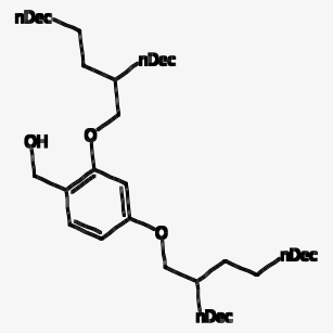 CCCCCCCCCCCCC(CCCCCCCCCC)COc1ccc(CO)c(OCC(CCCCCCCCCC)CCCCCCCCCCCC)c1